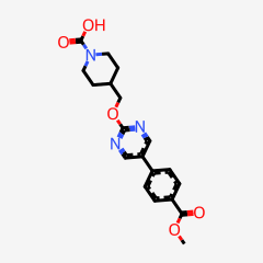 COC(=O)c1ccc(-c2cnc(OCC3CCN(C(=O)O)CC3)nc2)cc1